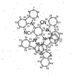 N#Cc1c(-n2c3ccccc3c3ccccc32)c(C#N)c(-n2c3ccccc3c3ccccc32)c(-n2c3ccccc3c3c4sc5ccccc5c4ccc32)c1-n1c2ccccc2c2ccccc21